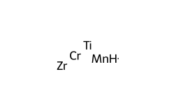 [Cr].[MnH].[Ti].[Zr]